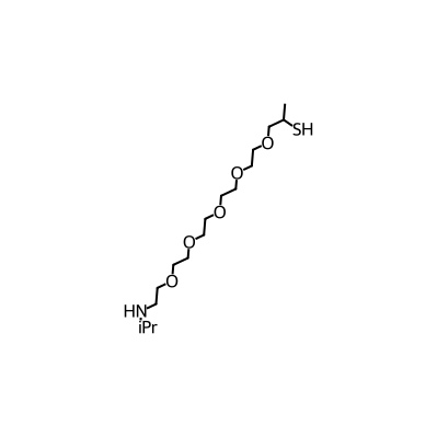 CC(S)COCCOCCOCCOCCOCCNC(C)C